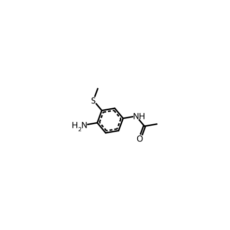 CSc1cc(NC(C)=O)ccc1N